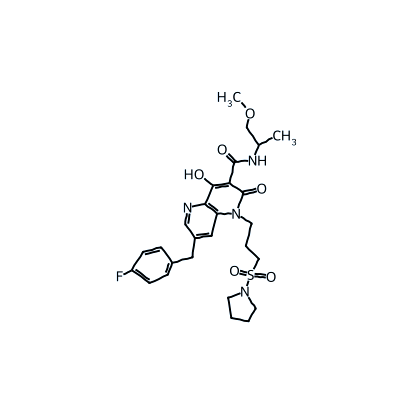 COCC(C)NC(=O)c1c(O)c2ncc(Cc3ccc(F)cc3)cc2n(CCCS(=O)(=O)N2CCCC2)c1=O